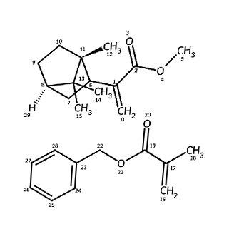 C=C(C(=O)OC)C1C[C@H]2CC[C@@]1(C)C2(C)C.C=C(C)C(=O)OCc1ccccc1